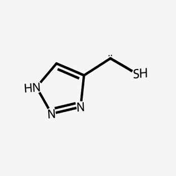 S[C]c1c[nH]nn1